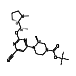 C[C@H](Oc1nc(C#N)cc(N2CCN(C(=O)OC(C)(C)C)C[C@@H]2C)n1)[C@@H]1CCCN1C